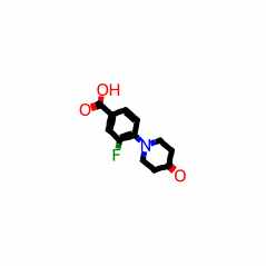 O=C1CCN(c2ccc(C(=O)O)cc2F)CC1